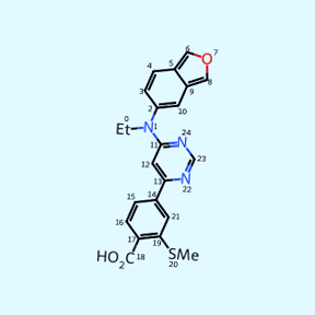 CCN(c1ccc2cocc2c1)c1cc(-c2ccc(C(=O)O)c(SC)c2)ncn1